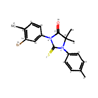 Cc1ccc(N2C(=S)N(c3ccc(C#N)c(Br)c3)C(=O)C2(C)C)cc1